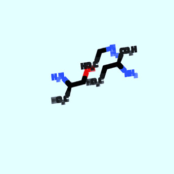 NCC(=O)O.N[C@@H](CC(=O)O)C(=O)O.N[C@@H](CO)C(=O)O